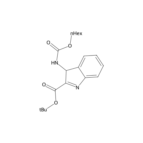 CCCCCCOC(=O)NC1C(C(=O)OC(C)(C)C)=Nc2ccccc21